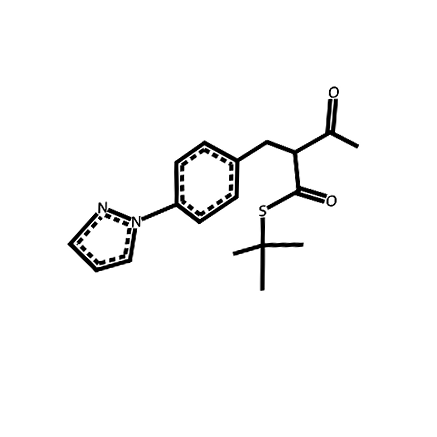 CC(=O)C(Cc1ccc(-n2cccn2)cc1)C(=O)SC(C)(C)C